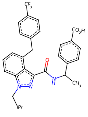 CC(C)Cn1nc(C(=O)NC(C)c2ccc(C(=O)O)cc2)c2c(Cc3ccc(C(F)(F)F)cc3)cccc21